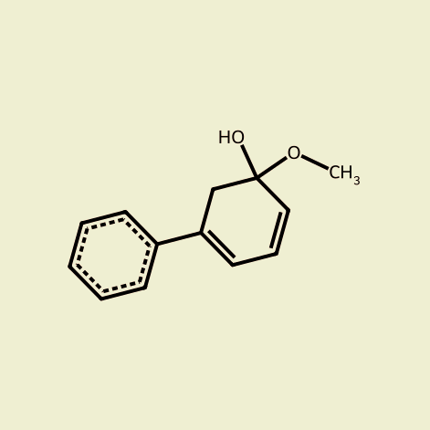 COC1(O)C=CC=C(c2ccccc2)C1